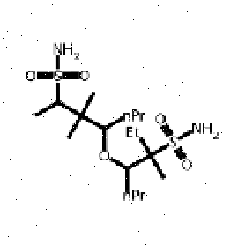 CCCC(OC(CCC)C(C)(CC)S(N)(=O)=O)C(C)(C)C(C)S(N)(=O)=O